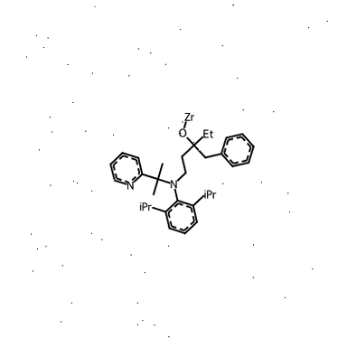 CCC(CCN(c1c(C(C)C)cccc1C(C)C)C(C)(C)c1ccccn1)(Cc1ccccc1)[O][Zr]